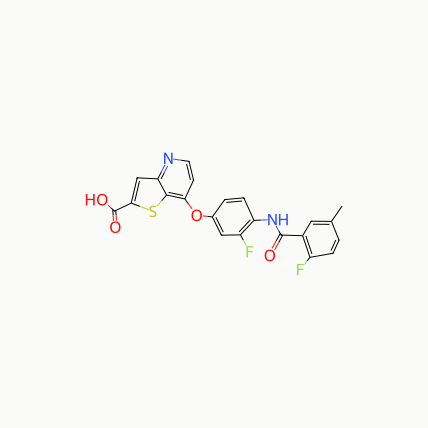 Cc1ccc(F)c(C(=O)Nc2ccc(Oc3ccnc4cc(C(=O)O)sc34)cc2F)c1